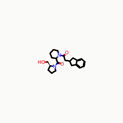 O=C(CC1Cc2ccccc2C1)N1CCCCC1C(=O)N1CCC[C@H]1CO